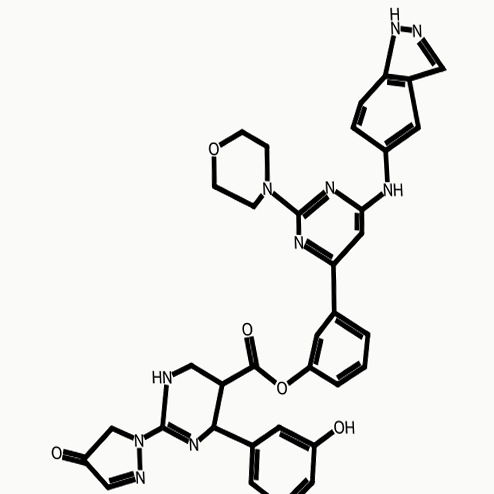 O=C1C=NN(C2=NC(c3cccc(O)c3)C(C(=O)Oc3cccc(-c4cc(Nc5ccc6[nH]ncc6c5)nc(N5CCOCC5)n4)c3)CN2)C1